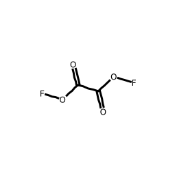 O=C(OF)C(=O)OF